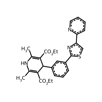 CCOC(=O)C1=C(C)NC(C)=C(C(=O)OCC)C1c1cccc(-c2nc(-c3ccccn3)cs2)c1